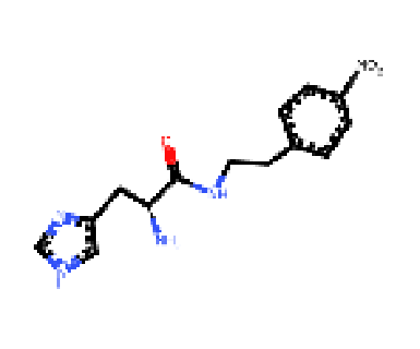 N[C@@H](Cc1c[nH]cn1)C(=O)NCCc1ccc([N+](=O)[O-])cc1